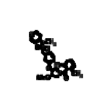 CCc1cccc(C)c1C(=O)N1CC(OC)C(Oc2cccc(CS(=O)(=O)N(C)C3CCOCC3)c2)C1